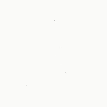 CCc1ccc(C(CC)(NC=O)C(=O)NCC(N)=O)cc1